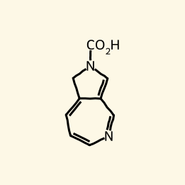 O=C(O)N1C=C2C=NC=CC=C2C1